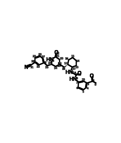 CC(=O)c1cccc(NC(=O)N[C@@H]2CCCC[C@H]2CN2CC(=O)N[C@H](Cc3cccc(C#N)c3)C2)c1